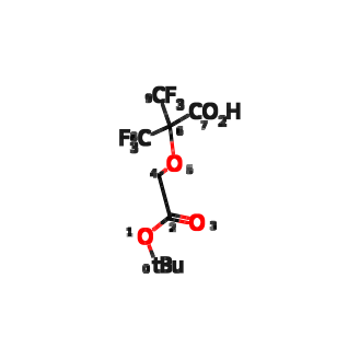 CC(C)(C)OC(=O)COC(C(=O)O)(C(F)(F)F)C(F)(F)F